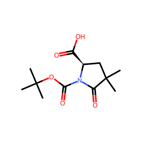 CC(C)(C)OC(=O)N1C(=O)C(C)(C)C[C@@H]1C(=O)O